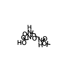 CC(C)(C)OC(=O)NCCCC1(C)NC(=O)N(CC(=O)O)C1=O